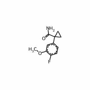 COc1cc(C2(C(N)=O)CC2)ccc1F